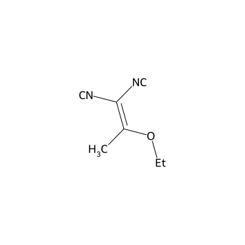 [C-]#[N+]C([N+]#[C-])=C(C)OCC